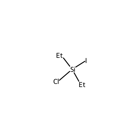 CC[Si](Cl)(I)CC